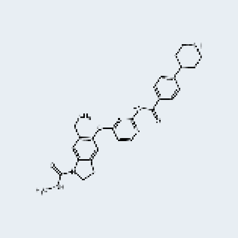 CCc1cc2c(cc1Oc1ccnc(NC(=O)c3ccc(C4CCNCC4)cc3)c1)CCN2C(=O)NC